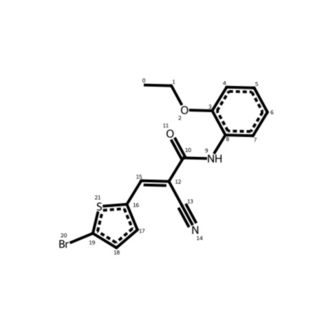 CCOc1ccccc1NC(=O)/C(C#N)=C/c1ccc(Br)s1